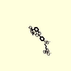 COC(=O)c1cccc(OC(=O)c2ccc([S+]([O-])CCCO[N+](=O)[O-])cc2)c1OC(C)=O